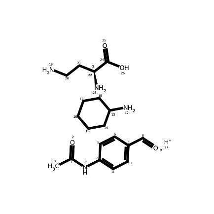 CC(=O)Nc1ccc(C=O)cc1.NC1CCCCC1.NCC[C@H](N)C(=O)O.[H+]